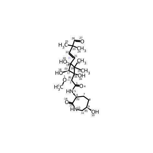 CO[C@@H](C(=O)N[C@H]1CC[C@@H](O)CNC1=O)[C@]1(O)[C@@H](O)[C@@](O)(/C=C/C(C)(C)C=O)C1(C)C